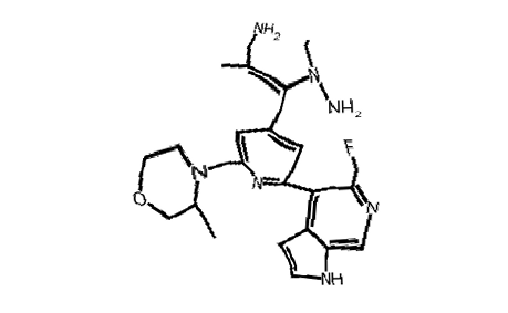 C/C(N)=C(\c1cc(-c2c(F)ncc3[nH]ccc23)nc(N2CCOCC2C)c1)N(C)N